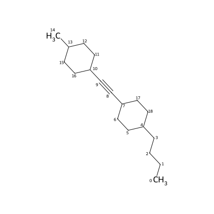 CCCCC1CCC(C#CC2CCC(C)CC2)CC1